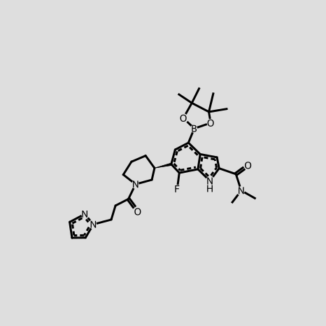 CN(C)C(=O)c1cc2c(B3OC(C)(C)C(C)(C)O3)cc([C@@H]3CCCN(C(=O)CCn4cccn4)C3)c(F)c2[nH]1